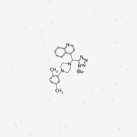 Cc1ccc(C)c(N2CCN(C(c3ccnc4ccccc34)c3nnnn3C(C)(C)C)CC2)c1